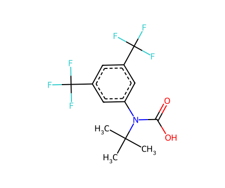 CC(C)(C)N(C(=O)O)c1cc(C(F)(F)F)cc(C(F)(F)F)c1